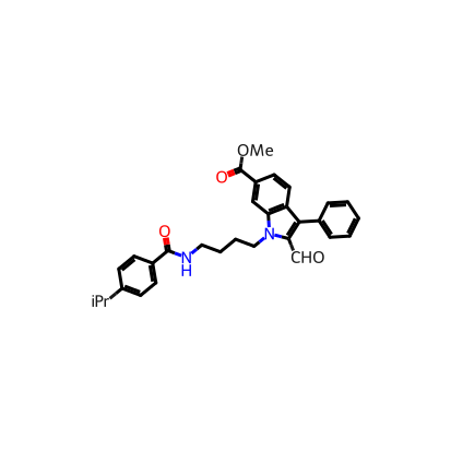 COC(=O)c1ccc2c(-c3ccccc3)c(C=O)n(CCCCNC(=O)c3ccc(C(C)C)cc3)c2c1